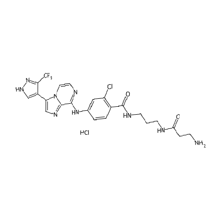 Cl.NCCC(=O)NCCCNC(=O)c1ccc(Nc2nccn3c(-c4c[nH]nc4C(F)(F)F)cnc23)cc1Cl